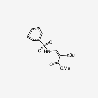 CCCCC(=CNS(=O)(=O)c1ccccc1)C(=O)OC